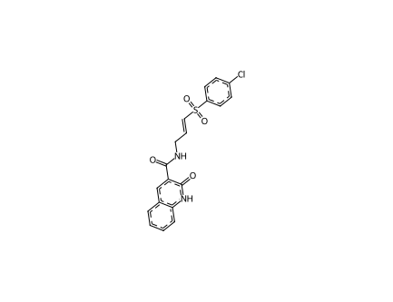 O=C(NC/C=C/S(=O)(=O)c1ccc(Cl)cc1)c1cc2ccccc2[nH]c1=O